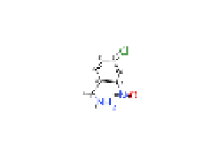 C=C(N)c1ccc(Cl)cc1N=O